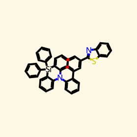 c1ccc([Si]2(c3ccccc3)c3ccccc3N(c3ccccc3-c3cccc(-c4nc5ccccc5s4)c3)c3ccccc32)cc1